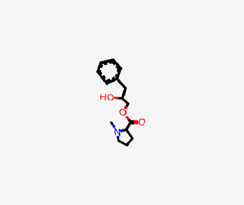 CN1CCCC1C(=O)OCC(O)Cc1ccccc1